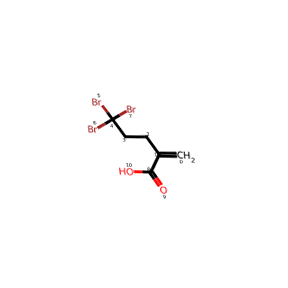 C=C(CCC(Br)(Br)Br)C(=O)O